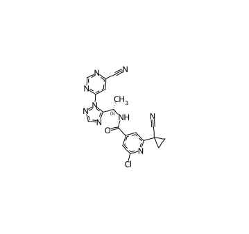 C[C@H](NC(=O)c1cc(Cl)nc(C2(C#N)CC2)c1)c1ncnn1-c1cc(C#N)ncn1